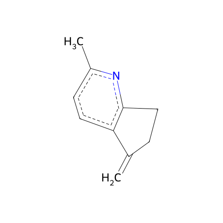 C=C1CCc2nc(C)ccc21